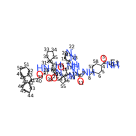 CCNC(=O)C1CCC(CNC(=O)N/N=C(\C(=O)Nc2ccn(C)n2)C2(NC(=O)[C@H](CC3(C)CCCC3)NC(=O)OCC3c4ccccc4-c4ccccc43)CCC2)CC1